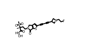 C[C@@](CCN1Cc2cc(C#CC#CC3CN(CCF)C3)sc2C1=O)(C(=O)NO)S(C)(=O)=O